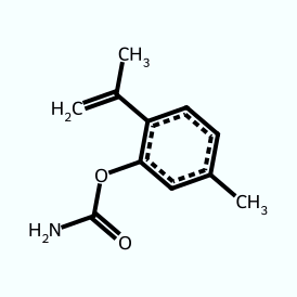 C=C(C)c1ccc(C)cc1OC(N)=O